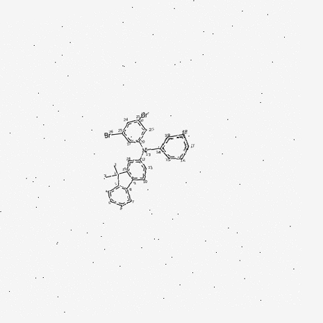 CC1(C)c2ccccc2-c2ccc(N(c3ccccc3)c3cc(Br)cc(Br)c3)cc21